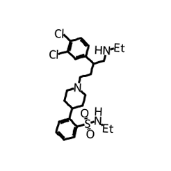 CCNCC(CCN1CCC(c2ccccc2S(=O)(=O)NCC)CC1)c1ccc(Cl)c(Cl)c1